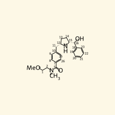 COCCN(C)C(=O)c1ccc(C[C@@H]2CC[C@H](C(O)c3ccccc3)N2)cc1